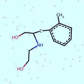 Cc1ccccc1CC(CO)NCCO